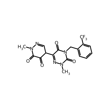 CN1N=CC(c2nn(C)c(=O)n(Cc3ccccc3C(F)(F)F)c2=O)C(=O)C1=O